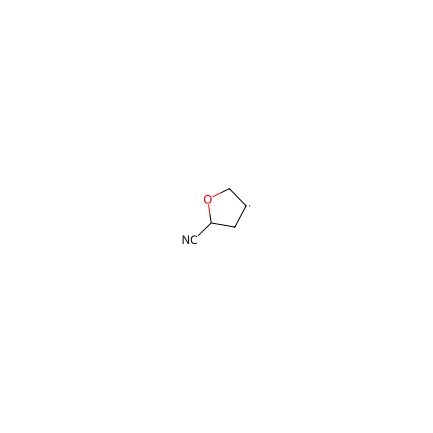 N#CC1C[CH]CO1